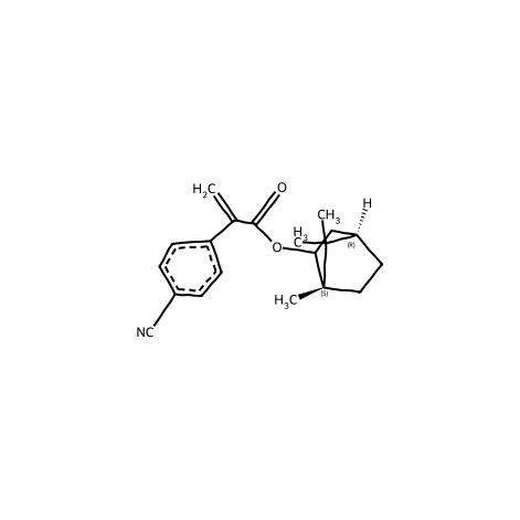 C=C(C(=O)OC1C[C@H]2CC[C@@]1(C)C2(C)C)c1ccc(C#N)cc1